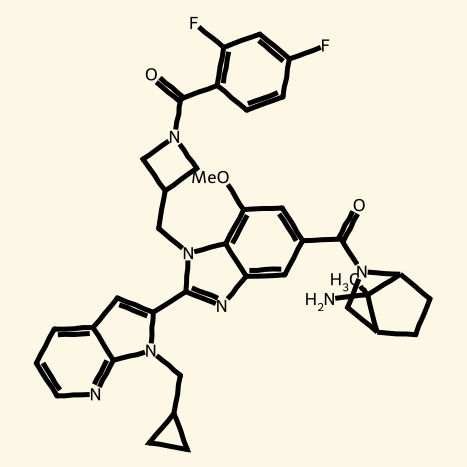 COc1cc(C(=O)N2CC3CCC2C3(C)N)cc2nc(-c3cc4cccnc4n3CC3CC3)n(CC3CN(C(=O)c4ccc(F)cc4F)C3)c12